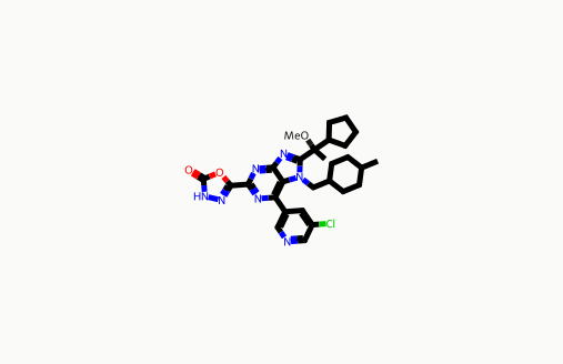 COC(C)(c1nc2nc(-c3n[nH]c(=O)o3)nc(-c3cncc(Cl)c3)c2n1CC1CCC(C)CC1)C1CCCC1